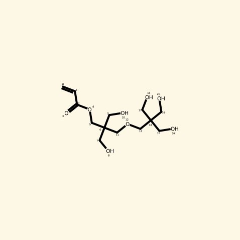 C=CC(=O)OCC(CO)(CO)COCC(CO)(CO)CO